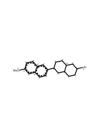 CCCC1CCC2CC(c3ccc4cc(OC)ccc4c3)CCC2C1